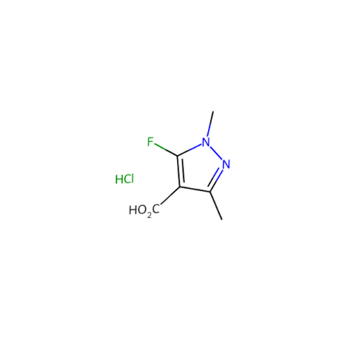 Cc1nn(C)c(F)c1C(=O)O.Cl